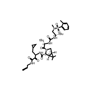 C=CCNC(=O)C(=O)C(CC1CC1)NC(=O)[C@@H]1[C@@H]2[C@H](CN1C(=O)[C@@H](NC(=O)N[C@H](CN(C)S(=O)(=O)c1ccccc1C)C(C)(C)C)C(C)(C)C)C2(C)C